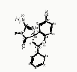 CN1C(=O)[C@@]2(C[C@H](C3C=CC=CC3)Oc3ccc(Br)cc32)N=C1N